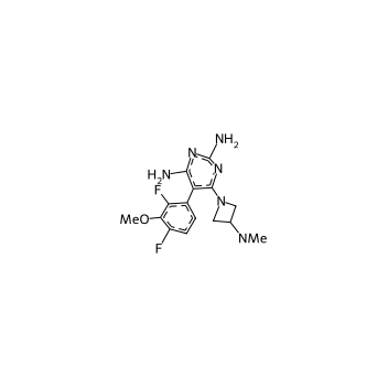 CNC1CN(c2nc(N)nc(N)c2-c2ccc(F)c(OC)c2F)C1